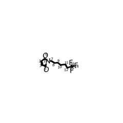 O=C1C=CC(=O)N1CCCCCCC(F)(F)F